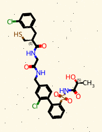 C[C@H](O)C(=O)NS(=O)(=O)c1ccccc1-c1ccc(CNC(=O)CNC(=O)[C@@H](CS)Cc2cccc(Cl)c2)cc1Cl